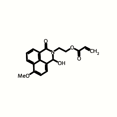 C=CC(=O)OCCN1C(=O)c2cccc3c(OC)ccc(c23)C1O